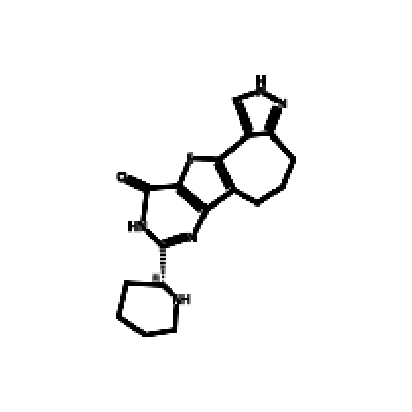 O=c1[nH]c([C@H]2CCCCN2)nc2c3c(sc12)-c1c[nH]nc1CCC3